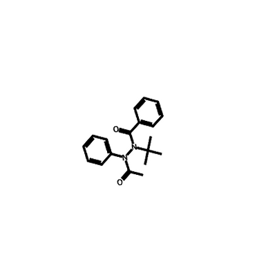 CC(=O)N(c1ccccc1)N(C(=O)c1ccccc1)C(C)(C)C